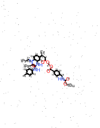 CC[C@@H](CC(=O)OCOC(=O)c1ccc(CNC(=O)OC(C)(C)C)cc1)c1ccc(N(CC(C)C)CC(C)C)c(NC(=O)Nc2ccc(C)cc2)c1